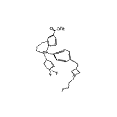 COC(=O)c1ccc2c(c1)CCCC(C1CCC(F)(F)CC1)=C2c1ccc(CC2CN(CCCF)C2)cc1